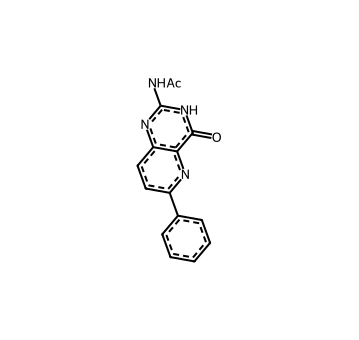 CC(=O)Nc1nc2ccc(-c3ccccc3)nc2c(=O)[nH]1